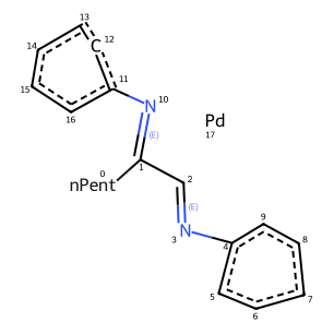 CCCCCC(/C=N/c1ccccc1)=N\c1ccccc1.[Pd]